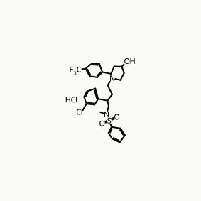 CN(CC(CCN1CCC(O)CC1c1ccc(C(F)(F)F)cc1)c1cccc(Cl)c1)S(=O)(=O)c1ccccc1.Cl